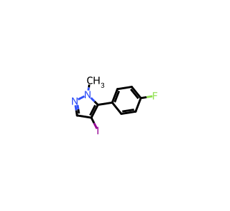 Cn1ncc(I)c1-c1ccc(F)cc1